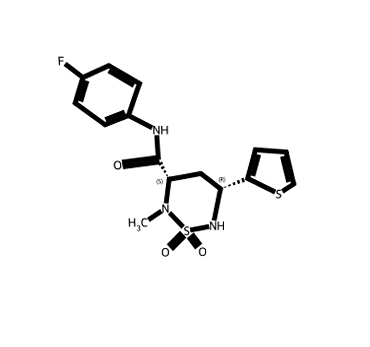 CN1[C@H](C(=O)Nc2ccc(F)cc2)C[C@H](c2cccs2)NS1(=O)=O